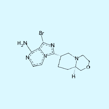 Nc1nccn2c([C@H]3CC[C@@H]4COCCN4C3)nc(Br)c12